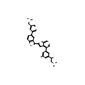 CN(C)Cc1cncc(-c2ccc3[nH]nc(-c4cc5c(-c6cc(F)cc(C(N)CN(C)C)c6)cncc5[nH]4)c3c2)c1